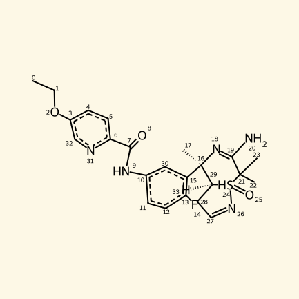 CCOc1ccc(C(=O)Nc2ccc(F)c([C@@]3(C)N=C(N)C(C)(C)[SH]4(=O)N=CC[C@@H]34)c2)nc1